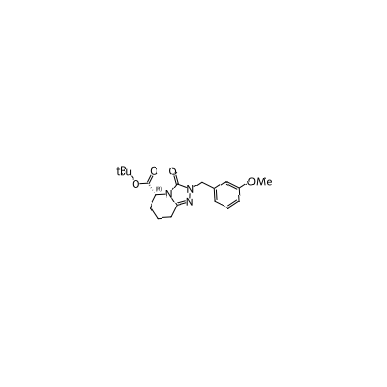 COc1cccc(Cn2nc3n(c2=O)[C@@H](C(=O)OC(C)(C)C)CCC3)c1